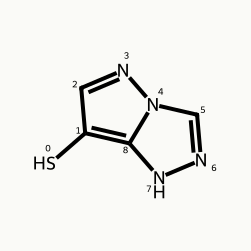 Sc1cnn2cn[nH]c12